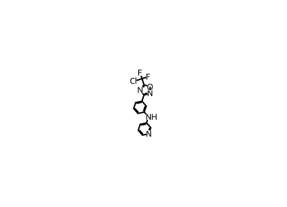 FC(F)(Cl)c1nc(-c2cccc(Nc3cccnc3)c2)no1